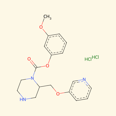 COc1cccc(OC(=O)N2CCNCC2COc2cccnc2)c1.Cl.Cl